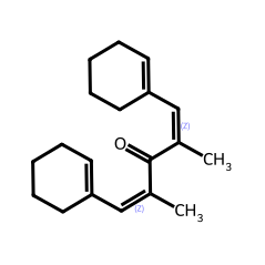 C/C(=C/C1=CCCCC1)C(=O)/C(C)=C\C1=CCCCC1